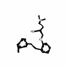 Cc1cccc(CCc2ccccc2OCC(O)CCN(C)C)c1